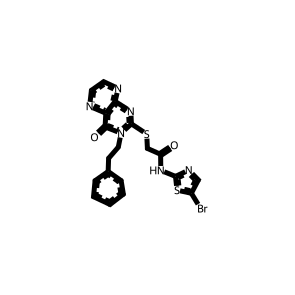 O=C(CSc1nc2nccnc2c(=O)n1CCc1ccccc1)Nc1ncc(Br)s1